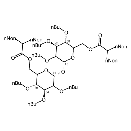 CCCCCCCCCC(CCCCCCCCC)C(=O)OCC1O[C@H](O[C@H]2OC(COC(=O)C(CCCCCCCCC)CCCCCCCCC)[C@@H](OCCCC)[C@H](OCCCC)C2OCCCC)C(OCCCC)[C@@H](OCCCC)[C@@H]1OCCCC